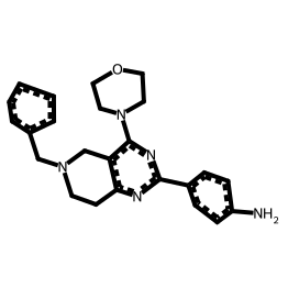 Nc1ccc(-c2nc3c(c(N4CCOCC4)n2)CN(Cc2ccccc2)CC3)cc1